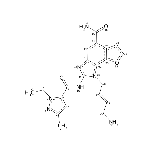 CCn1nc(C)cc1C(=O)Nc1nc2cc(C(N)=O)c3ccoc3c2n1C/C=C/CN